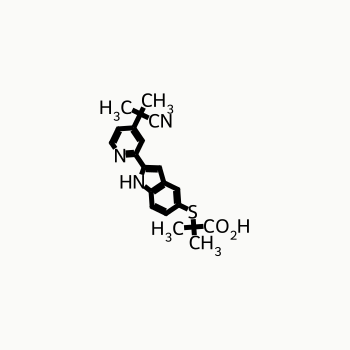 CC(C)(Sc1ccc2[nH]c(-c3cc(C(C)(C)C#N)ccn3)cc2c1)C(=O)O